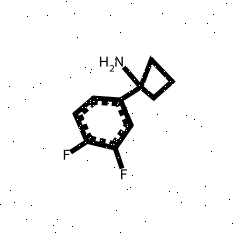 NC1(c2ccc(F)c(F)c2)CCC1